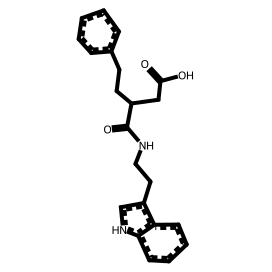 O=C(O)CC(CCc1ccccc1)C(=O)NCCc1c[nH]c2ccccc12